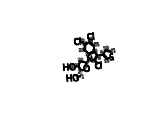 OC[C@H]1O[C@@H](n2c(Cl)c(-c3ccsc3)c3cc(Cl)c(Cl)cc32)C[C@@H]1O